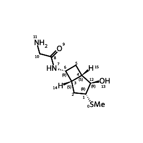 CS[C@@H]1C[C@H]2[C@H](C[C@H]2NC(=O)CN)[C@H]1O